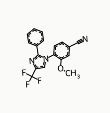 COc1cc(C#N)ccc1-n1cc(C(F)(F)F)nc1-c1ccccc1